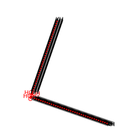 O=C(O)O.O=C(O)O.[KH].[KH].[KH].[KH].[KH].[KH].[KH].[KH].[KH].[KH].[KH].[KH].[KH].[KH].[KH].[KH].[KH].[KH].[KH].[KH].[KH].[KH].[KH].[KH].[KH].[KH].[KH].[KH].[KH].[KH].[KH].[KH].[KH].[KH].[KH].[KH].[KH].[KH].[KH].[KH].[KH].[KH].[KH].[KH].[KH].[KH].[KH].[KH].[KH].[KH].[KH].[KH].[KH].[KH].[KH].[KH].[KH].[KH].[KH].[KH].[KH].[KH].[KH].[KH].[KH].[KH].[KH].[KH].[KH].[KH].[KH].[KH].[KH].[KH].[KH].[KH].[KH].[KH].[KH].[KH].[KH].[KH].[KH].[KH].[KH].[KH].[KH].[KH].[KH].[KH].[KH].[KH].[KH].[KH].[KH].[KH].[KH].[KH].[KH].[KH].[KH].[KH].[KH].[KH].[KH].[KH].[KH].[KH].[KH].[KH].[KH].[KH].[KH].[KH].[KH].[KH].[KH].[KH].[KH].[KH].[KH].[KH].[KH].[KH].[KH].[KH].[KH].[KH].[KH].[KH].[KH].[KH].[KH].[KH].[KH].[KH].[KH].[KH].[KH].[KH].[KH]